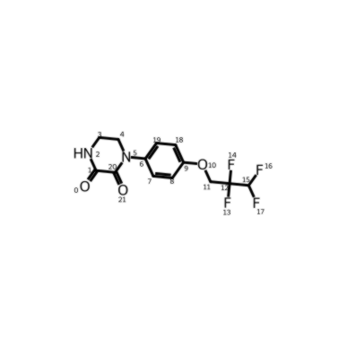 O=C1NCCN(c2ccc(OCC(F)(F)C(F)F)cc2)C1=O